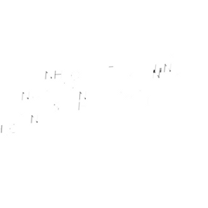 Cc1cnc2c(N)c(C(=O)NCCc3cc(F)c(N4CC5CCC(C4)N5)cc3F)sc2n1